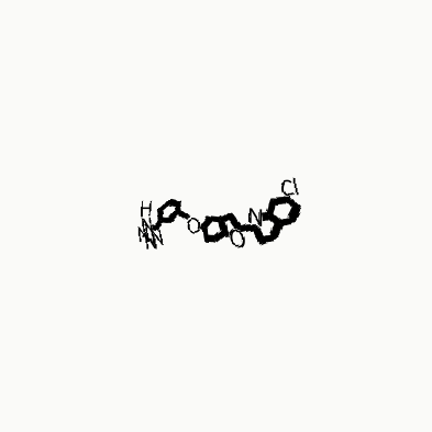 Clc1ccc2ccc(-c3cc4cc(OCc5cccc(-c6nnn[nH]6)c5)ccc4o3)nc2c1